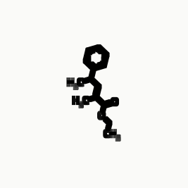 CCOC(=O)/C(C)=C/C(C)c1ccccc1